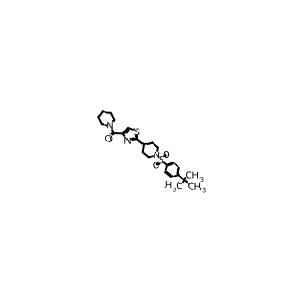 CC(C)(C)c1ccc(S(=O)(=O)N2CCC(c3nc(C(=O)N4CCCCC4)cs3)CC2)cc1